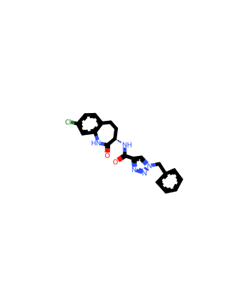 O=C(N[C@H]1CCc2ccc(Cl)cc2NC1=O)c1cn(Cc2ccccc2)nn1